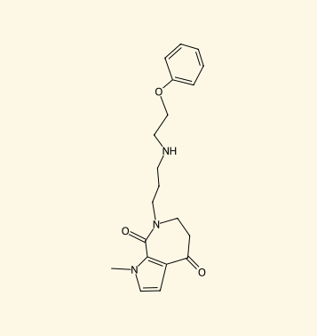 Cn1ccc2c1C(=O)N(CCCNCCOc1ccccc1)CCC2=O